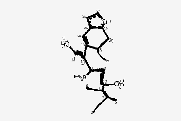 BC(/C=C(/O)C(C)=C(C)C)/C(=C/O)C1=Cc2ccoc2CC1C